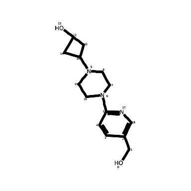 OCc1ccc(N2CCN(C3CC(O)C3)CC2)nc1